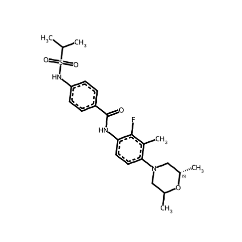 Cc1c(N2CC(C)O[C@@H](C)C2)ccc(NC(=O)c2ccc(NS(=O)(=O)C(C)C)cc2)c1F